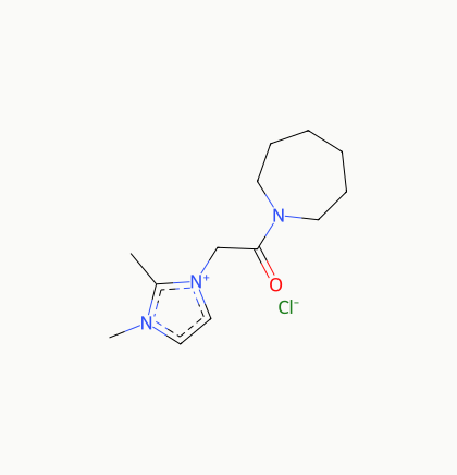 Cc1n(C)cc[n+]1CC(=O)N1CCCCCC1.[Cl-]